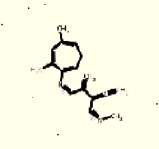 C=C=C(/C=N\C)C(=C)/C=N\C1=CCC=C(C)C=C1C